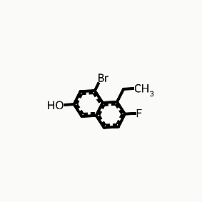 CCc1c(F)ccc2cc(O)cc(Br)c12